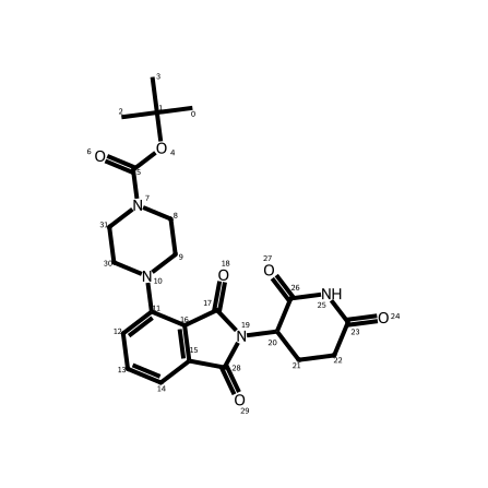 CC(C)(C)OC(=O)N1CCN(c2cccc3c2C(=O)N(C2CCC(=O)NC2=O)C3=O)CC1